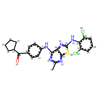 Cc1nc(Nc2ccc(C(=O)C3CCCC3)cc2)c2nc(Nc3c(Cl)cccc3Cl)sc2n1